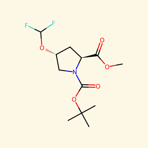 COC(=O)[C@@H]1C[C@@H](OC(F)F)CN1C(=O)OC(C)(C)C